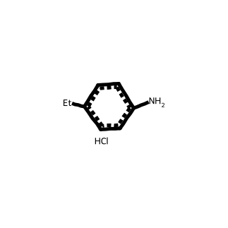 CCc1ccc(N)cc1.Cl